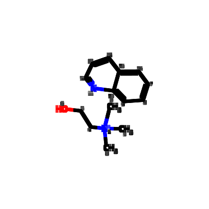 C[N+](C)(C)CCO.c1ccc2ncccc2c1